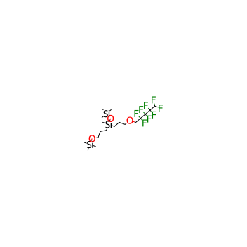 C[Si](C)(C)OCCC[Si](C)(CCCOCC(F)(F)C(F)(F)C(F)(F)C(F)F)O[Si](C)(C)C